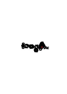 CC(=O)N[C@]12CC3CC(C1)[C@H](NC(=O)N1CCN(c4ccc(N5CCN(S(C)(=O)=O)CC5)cc4)c4ccccc41)C(C3)C2